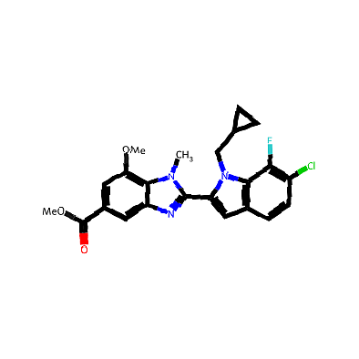 COC(=O)c1cc(OC)c2c(c1)nc(-c1cc3ccc(Cl)c(F)c3n1CC1CC1)n2C